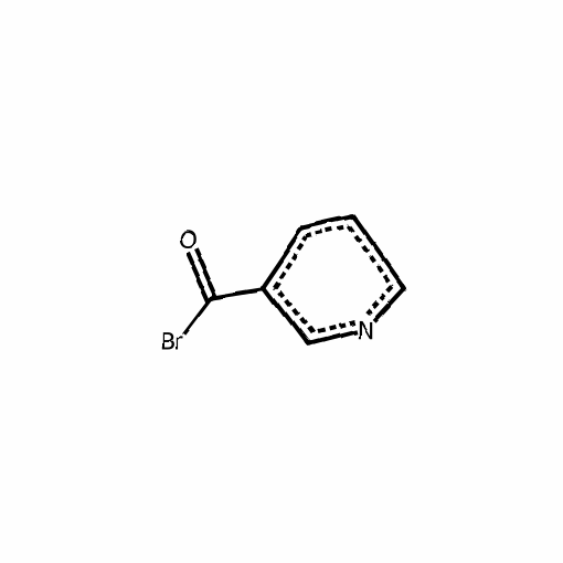 O=C(Br)c1cccnc1